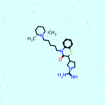 C[C@@H]1CCC[C@H](C)N1CCCCCN1C(=O)C(C2CCN(C(=N)N)C2)Sc2ccccc21